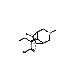 CCC(C(=O)O)=C1C2CN(C)CC1[C@H](C)[C@H]2C